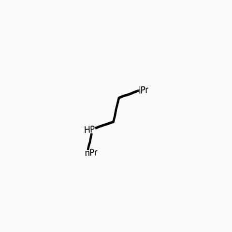 CCCPCCC(C)C